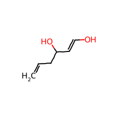 C=CCC(O)C=CO